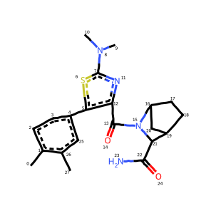 Cc1ccc(-c2sc(N(C)C)nc2C(=O)N2C3CCC(C3)C2C(N)=O)cc1C